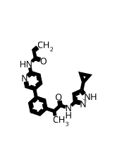 C=CC(=O)Nc1ccc(-c2cccc(C(C)C(=O)Nc3cc(C4CC4)[nH]n3)c2)cn1